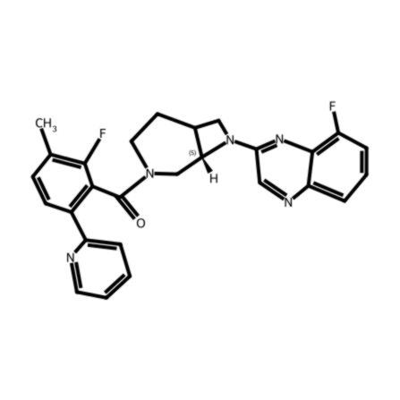 Cc1ccc(-c2ccccn2)c(C(=O)N2CCC3CN(c4cnc5cccc(F)c5n4)[C@@H]3C2)c1F